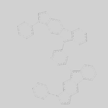 c1ccc(-n2ccc3cc4c5ccccc5n(-c5cncc(-n6c7ccccc7c7cc8ccn(-c9ccccc9)c8cc76)c5)c4cc32)cc1